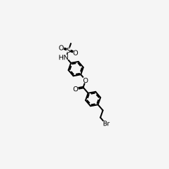 CS(=O)(=O)Nc1ccc(OC(=O)c2ccc(CCBr)cc2)cc1